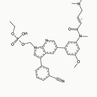 CCOP(=O)(O)OCn1cc(-c2cccc(C#N)c2)c2cc(-c3cc(OC)cc(N(C)C(=O)/C=C/CN(C)C)c3)cnc21